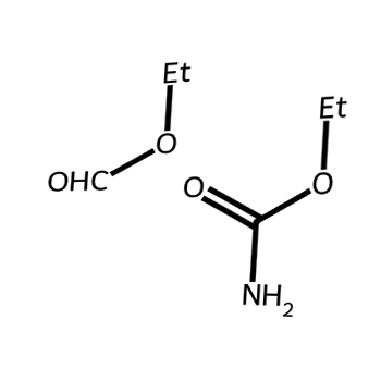 CCOC(N)=O.CCOC=O